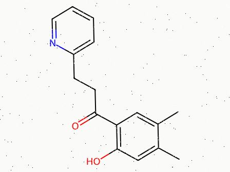 Cc1cc(O)c(C(=O)CCc2ccccn2)cc1C